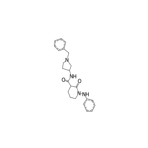 O=C(NC1CCN(Cc2ccccc2)C1)C1CCCN(Nc2ccccc2)C1=O